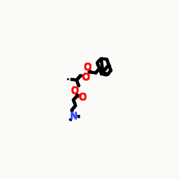 [CH2]C(COC(=O)CCCN(C)C)COC(=O)CC12CC3CC(CC(C3)C1)C2